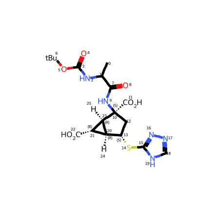 CC(NC(=O)OC(C)(C)C)C(=O)N[C@@]1(C(=O)O)C[C@H](Sc2nnc[nH]2)[C@H]2[C@H](C(=O)O)[C@H]21